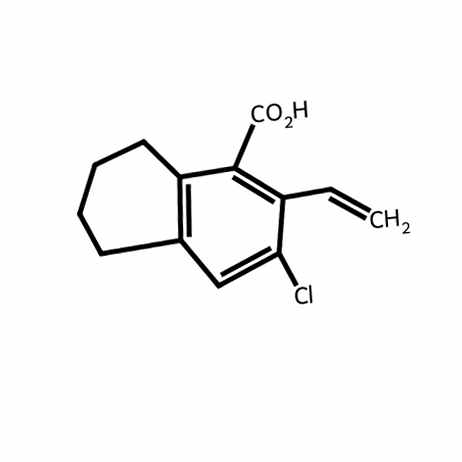 C=Cc1c(Cl)cc2c(c1C(=O)O)CCCC2